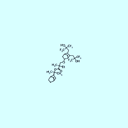 CCC(C)(COC1CC2CC1C(CC(O)(C(F)(F)F)C(F)(F)F)C2CC(O)(C(F)(F)F)C(F)(F)F)C(=O)OC(C)(C)C1CC2CCC1C2